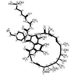 CO[C@H]1/C=C/O[C@@]2(C)Oc3c(C)c(O)c4c(c3C2=O)C2=NC3(CCN(CC(C)C)CC3)N(C(=O)OC(C)OC(=O)CCCP(O)O)C2C(=C4O)NC(=O)/C(C)=C\C=C\[C@H](C)[C@H](O)[C@@H](C)[C@@H](O)[C@@H](C)[C@H](OC(C)=O)[C@@H]1C